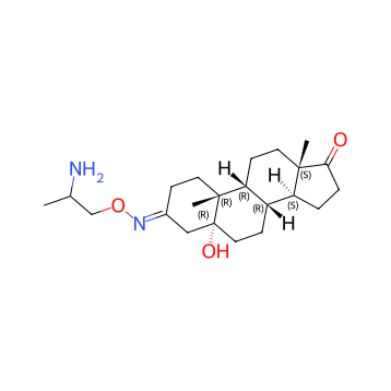 CC(N)CON=C1CC[C@]2(C)[C@@H]3CC[C@]4(C)C(=O)CC[C@H]4[C@@H]3CC[C@@]2(O)C1